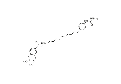 CCNC(=O)Nc1ccc(CCCCOCCCCCCNC[C@@H](O)c2ccc3c(c2)COC(C)(C)O3)cc1